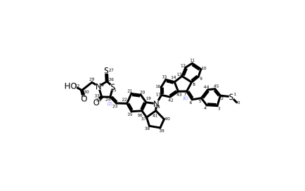 CSc1ccc(/C=C2\c3ccccc3-c3ccc(N4c5ccc(/C=C6\SC(=S)N(CC(=O)O)C6=O)cc5C5CCCC54)cc32)cc1